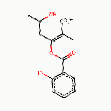 CC(C(=O)O)=C(CC(C)O)OC(=O)c1ccccc1O